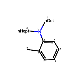 CCCCCCCCN(CCCCCCC)c1ccccc1C